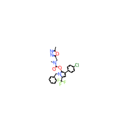 Cc1nnc(CN(C)C(=O)Oc2c(-c3ccc(Cl)cc3)cc(C(F)(F)F)n2Cc2ccccc2)o1